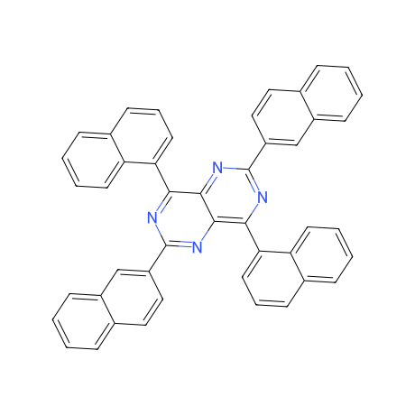 c1ccc2cc(-c3nc(-c4cccc5ccccc45)c4nc(-c5ccc6ccccc6c5)nc(-c5cccc6ccccc56)c4n3)ccc2c1